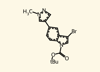 Cn1cc(-c2ccc3c(c2)c(Br)cn3C(=O)OC(C)(C)C)cn1